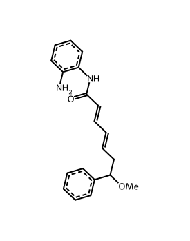 COC(CC=CC=CC(=O)Nc1ccccc1N)c1ccccc1